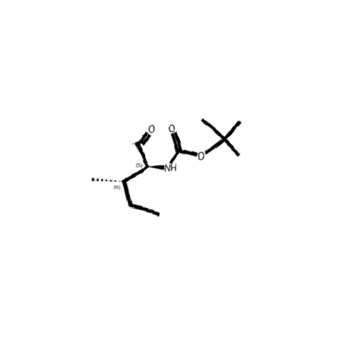 CC[C@H](C)[C@@H]([C]=O)NC(=O)OC(C)(C)C